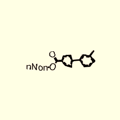 CCCCCCCCCOC(=O)c1ccc(-c2cccc(C)c2)cc1